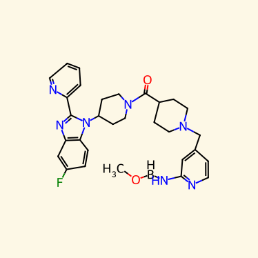 COBNc1cc(CN2CCC(C(=O)N3CCC(n4c(-c5ccccn5)nc5cc(F)ccc54)CC3)CC2)ccn1